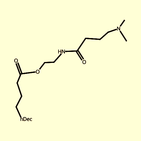 CCCCCCCCCCCCCC(=O)OCCNC(=O)CCCN(C)C